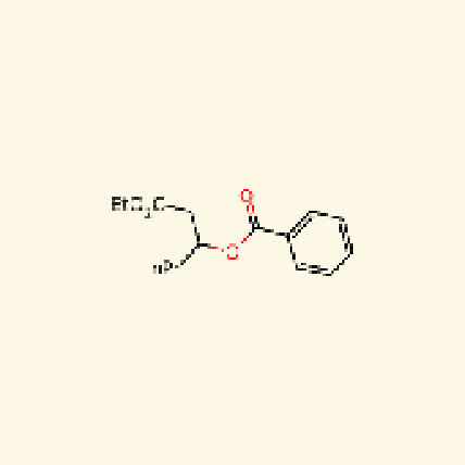 CCCC(CC(=O)OCC)OC(=O)c1ccccc1